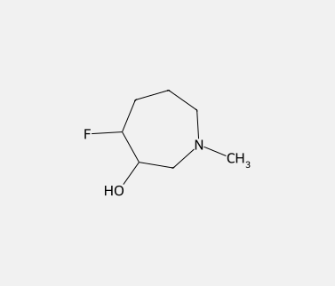 CN1CCCC(F)C(O)C1